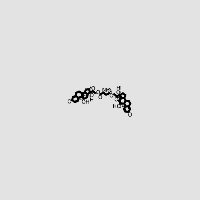 C[C@@H]1CC2C3CCC4=CC(=O)C=C[C@]4(C)[C@@]3(F)[C@@H](O)C[C@]2(C)[C@@]1(O)C(=O)COC(=O)[C@H](N)CC(=O)OCC(=O)[C@@]1(O)CCC2C3CCC4=CC(=O)C=C[C@]4(C)C3[C@@H](O)C[C@@]21C